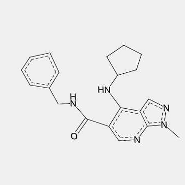 Cn1ncc2c(NC3CCCC3)c(C(=O)NCc3ccccc3)cnc21